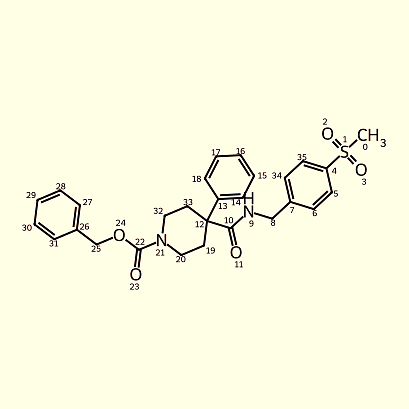 CS(=O)(=O)c1ccc(CNC(=O)C2(c3ccccc3)CCN(C(=O)OCc3ccccc3)CC2)cc1